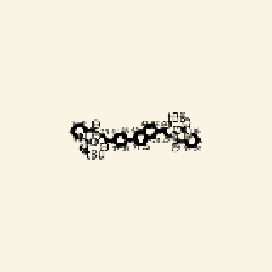 CC(C)(C)OC(=O)N1CCCC[C@H]1C(=O)OCC(=O)c1ccc(-c2ccc3cc(C(=O)COC(=O)[C@@H]4CCCCN4C(=O)OC(C)(C)C)ccc3c2)cc1